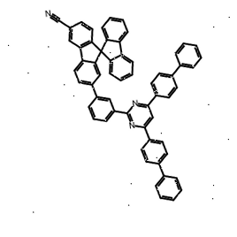 N#Cc1ccc2c(c1)-c1ccc(-c3cccc(-c4nc(-c5ccc(-c6ccccc6)cc5)cc(-c5ccc(-c6ccccc6)cc5)n4)c3)cc1C21c2ccccc2-c2ccccc21